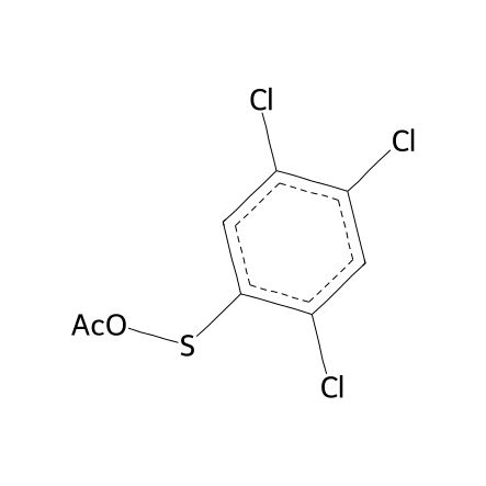 CC(=O)OSc1cc(Cl)c(Cl)cc1Cl